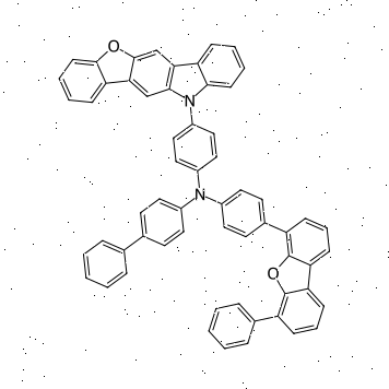 c1ccc(-c2ccc(N(c3ccc(-c4cccc5c4oc4c(-c6ccccc6)cccc45)cc3)c3ccc(-n4c5ccccc5c5cc6oc7ccccc7c6cc54)cc3)cc2)cc1